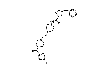 O=C(c1ccc(F)cc1)C1CCN(CCC2CCC(NC(=O)N3CCC(Oc4ccccc4)C3)CC2)CC1